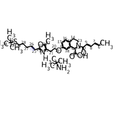 CC(C)(C)N.CC=CC=CC(=O)N1CCc2ccc(OCCc3nc(/C=C/CCCSC(C)(C)C)oc3C)cc2C1C(=O)O